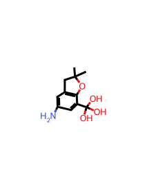 CC1(C)Cc2cc(N)cc(C(O)(O)O)c2O1